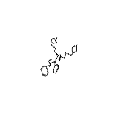 O=C(Sc1ccccc1)N(CC=CCl)CC=CCl